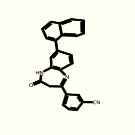 N#Cc1cccc(C2=Nc3ccc(-c4cccc5ccccc45)cc3NC(=O)C2)c1